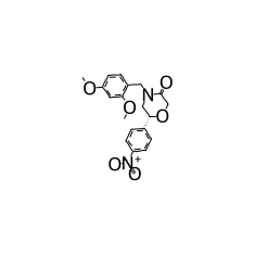 COc1ccc(CN2C[C@@H](c3ccc([N+](=O)[O-])cc3)OCC2=O)c(OC)c1